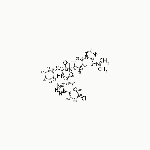 CN(C)Cc1nccn1-c1ccc(NC(=O)[C@H](Cc2ccccc2)NC(=O)/C=C/c2cc(Cl)ccc2-n2cnnn2)c(F)c1